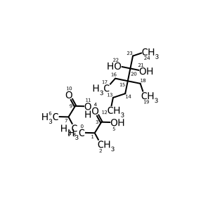 CC(C)C(=O)O.CC(C)C(=O)O.CCCC(CC)(CC)C(O)(O)CC